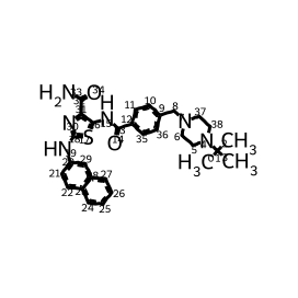 CC(C)(C)N1CCN(Cc2ccc(C(=O)Nc3sc(Nc4ccc5ccccc5c4)nc3C(N)=O)cc2)CC1